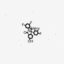 O=C1c2cc(O)ccc2C2(C(=O)Nc3c2ccc(F)c3F)N1c1cc(F)cc(F)c1